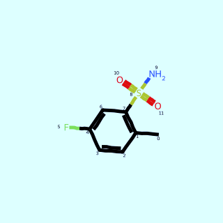 Cc1ccc(F)cc1S(N)(=O)=O